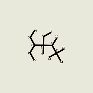 CC[C](CC)C(C)(CC)C(C)C(C)(C)C